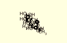 CC(=O)N1C2C(OC(C)C(O)C(O)C(O)C(C)C(=O)N(O)c3ccc(NS(C)(=O)=O)c(Oc4ccccc4)c3)C(O)C(CO)OC21O